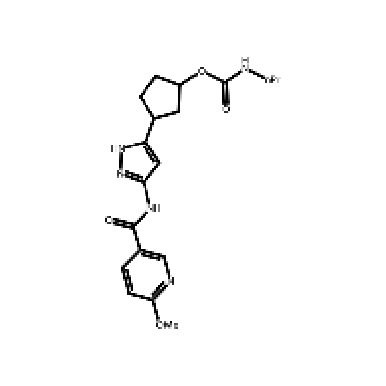 CCCNC(=O)OC1CCC(c2cc(NC(=O)c3ccc(OC)nc3)n[nH]2)C1